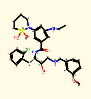 CCNc1cc(C(=O)N[C@@H](Cc2ccccc2Cl)[C@H](O)CNCc2cccc(OC)c2)cc(N2CCCCS2(O)O)c1